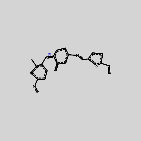 C=Cc1ccc(C=Nc2cc/c(=C/c3ccc(N=C)cc3C)c(=C)c2)s1